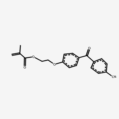 C=C(C)C(=O)OCCOc1ccc(C(=O)c2ccc(C#N)cc2)cc1